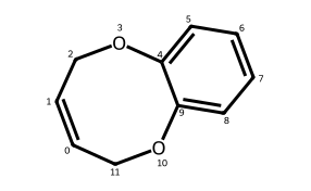 C1=CCOc2ccccc2OC1